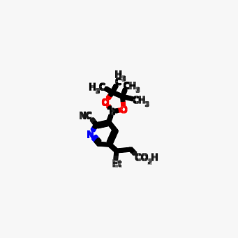 CCC(CC(=O)O)c1cnc(C#N)c(B2OC(C)(C)C(C)(C)O2)c1